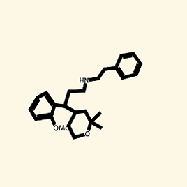 COc1ccccc1C(CCNCCc1ccccc1)C1CCOC(C)(C)C1